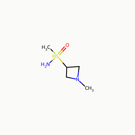 CN1CC([SH](C)(N)=O)C1